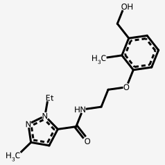 CCn1nc(C)cc1C(=O)NCCOc1cccc(CO)c1C